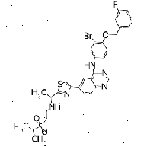 CC(NCCS(=O)(=O)C(C)C)c1nc(-c2ccc3ncnc(Nc4ccc(OCc5cccc(F)c5)c(Br)c4)c3c2)cs1